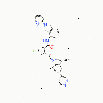 CC(=O)c1cn(CC(=O)C2C[C@H](F)C[C@H]2C(=O)Nc2cccc3c2CN(c2ccccn2)C3)c2ccc(-c3ccnnc3)cc12